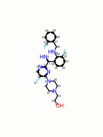 N=C(c1ncc(F)c(N2CCN(CCO)CC2)n1)c1cccc(F)c1NCc1ccccc1F